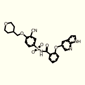 N#Cc1cc(S(=O)(=O)NC(=O)c2ccccc2Oc2cnc3[nH]ccc3c2)ccc1OCC1CCOCC1